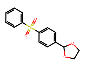 O=S(=O)(c1ccccc1)c1ccc(C2OCCO2)cc1